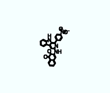 O=C1C(=O)c2ccccc2C=C1Nc1cc2c([nH]c3ccccc32)c(-c2ccc([N+](=O)[O-])cc2)n1